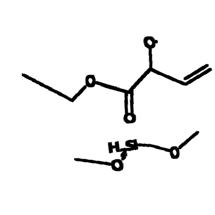 C=CC([O])C(=O)OCC.CO[SiH2]OC